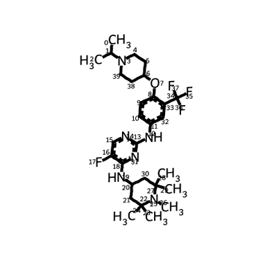 CC(C)N1CCC(Oc2ccc(Nc3ncc(F)c(NC4CC(C)(C)N(C)C(C)(C)C4)n3)cc2C(F)(F)F)CC1